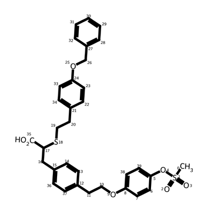 CS(=O)(=O)Oc1ccc(OCCc2ccc(CC(SCCc3ccc(OCc4ccccc4)cc3)C(=O)O)cc2)cc1